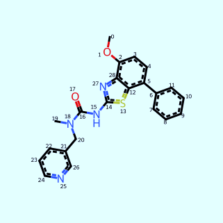 COc1ccc(-c2ccccc2)c2sc(NC(=O)N(C)Cc3cccnc3)nc12